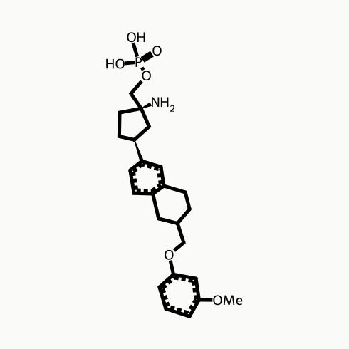 COc1cccc(OCC2CCc3cc([C@H]4CC[C@](N)(COP(=O)(O)O)C4)ccc3C2)c1